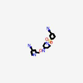 N#Cc1cccc(S(=O)(=O)N2CCC(=NOCc3cc(C#N)ccn3)CC2)c1